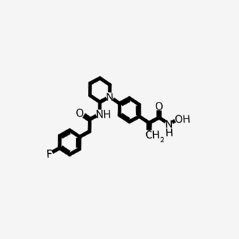 C=C(C(=O)NO)c1ccc(N2CCCCC2NC(=O)Cc2ccc(F)cc2)cc1